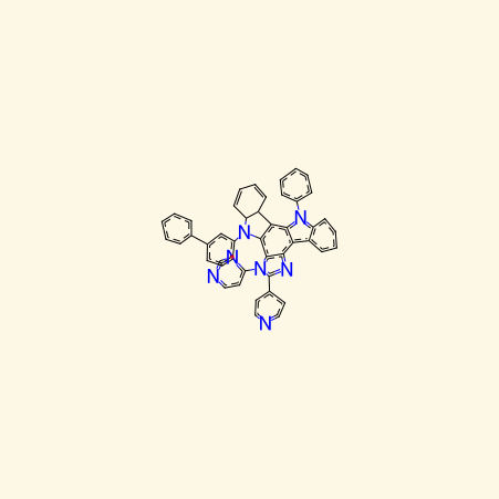 C1=CC2c3c(c4c(nc(-c5ccncc5)n4-c4ccncn4)c4c5ccccc5n(-c5ccccc5)c34)N(c3cccc(-c4ccccc4)c3)C2C=C1